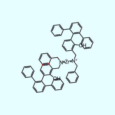 Oc1c(C[N+](Cc2ccccc2)=[Zr]=[N+](Cc2ccccc2)Cc2cccc(-c3c(-c4ccccc4)cccc3-c3ccccc3)c2O)cccc1-c1c(-c2ccccc2)cccc1-c1ccccc1